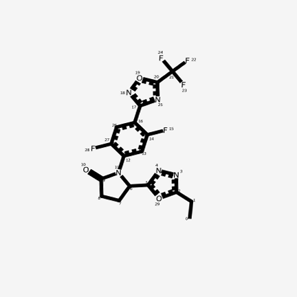 CCc1nnc(C2CCC(=O)N2c2cc(F)c(-c3noc(C(F)(F)F)n3)cc2F)o1